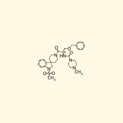 CN1CCN(C(=O)N[C@H](COCc2ccccc2)C(=O)N2CCC3(CC2)CN(S(C)(=O)=O)c2ccccc23)CC1